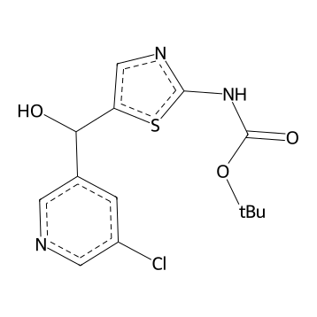 CC(C)(C)OC(=O)Nc1ncc(C(O)c2cncc(Cl)c2)s1